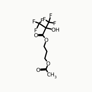 CC(=O)OCCCOC(=O)C(O)(C(F)(F)F)C(F)(F)F